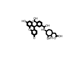 O=C(O)CC1CCC(NC(O)c2ccc(C(=O)O)c(-c3c4ccc(=O)cc-4oc4cc(O)ccc34)c2)CC(S)C1S